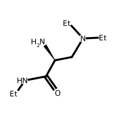 CCNC(=O)[C@@H](N)CN(CC)CC